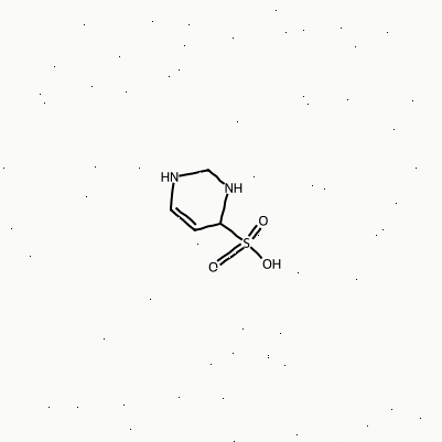 O=S(=O)(O)C1C=CNCN1